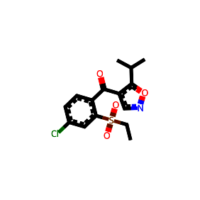 CCS(=O)(=O)c1cc(Cl)ccc1C(=O)c1cnoc1C(C)C